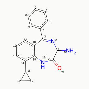 NC1N=C(c2ccccc2)c2cccc(C3CC3)c2NC1=O